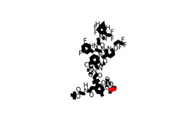 Cc1cc(CC(=O)NCC(=O)OC(C)(C)C)c(C(C)(C)CC(=O)N(c2nn(C)c3c(-n4c([C@H](Cc5cc(F)cc(F)c5)NC(=O)Cn5nc(C(F)F)c6c5C(F)(F)[C@@H]5C[C@H]65)nc5nc(OCCC(F)(F)F)ccc5c4=O)ccc(Cl)c23)S(C)(=O)=O)c(OP(=O)(OC(C)C)OC(C)C)c1